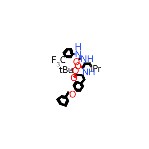 CC(C)CC(NC(=O)Nc1cccc(C(F)(F)F)c1)C(=O)NC(Cc1ccc(OCc2ccccc2)cc1)C(=O)OC(C)(C)C